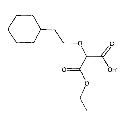 CCOC(=O)C(OCCC1CCCCC1)C(=O)O